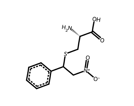 N[C@@H](CSC(C[N+](=O)[O-])c1ccccc1)C(=O)O